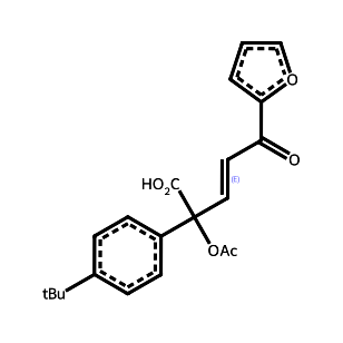 CC(=O)OC(/C=C/C(=O)c1ccco1)(C(=O)O)c1ccc(C(C)(C)C)cc1